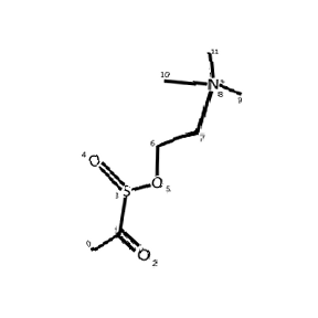 CC(=O)S(=O)OCC[N+](C)(C)C